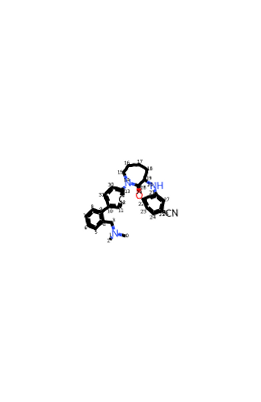 CN(C)Cc1ccccc1-c1ccc(N2CCCCC(Nc3cccc(C#N)c3)C2=O)cc1